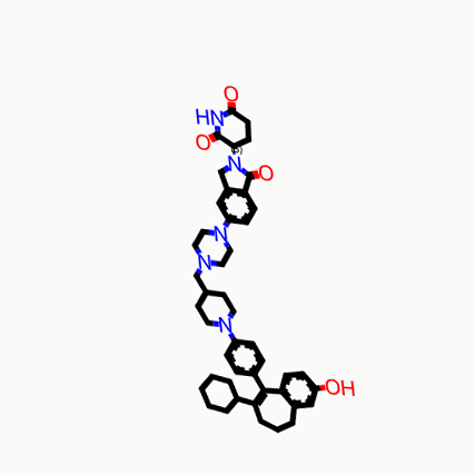 O=C1CC[C@H](N2Cc3cc(N4CCN(CC5CCN(c6ccc(C7=C(C8CCCCC8)CCCc8cc(O)ccc87)cc6)CC5)CC4)ccc3C2=O)C(=O)N1